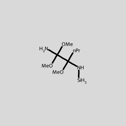 CCCC(N[SiH3])(OC)C(N)(OC)OC